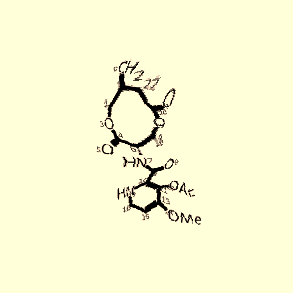 C=C1COC(=O)[C@@H](NC(=O)C2=C(OC(C)=O)C(OC)=CCN2)COC(=O)C1